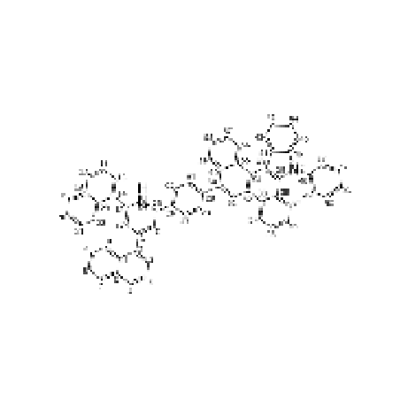 C1=C(c2cccc3ccccc23)C=C(c2cccc3ccccc23)NC1c1ccc(-c2cc3c4ccccc4c4c(c5ccccc5n4-c4ccccc4)c3c3ccccc23)cc1